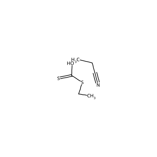 CCC#N.CCSC(O)=S